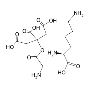 NCC(=O)OC(CC(=O)O)(CC(=O)O)C(=O)O.NCCCC[C@H](N)C(=O)O